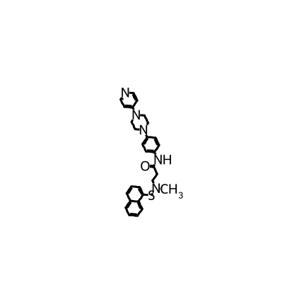 CN(CCC(=O)Nc1ccc(N2CCN(c3ccncc3)CC2)cc1)Sc1cccc2ccccc12